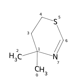 CC1(C)CCSC=N1